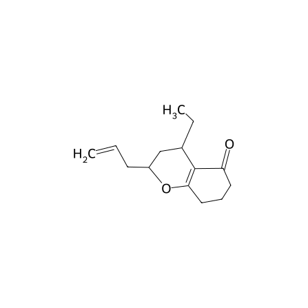 C=CCC1CC(CC)C2=C(CCCC2=O)O1